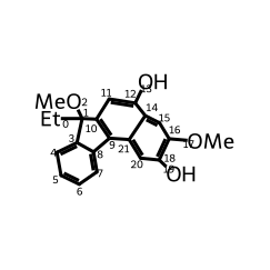 CCC1(OC)c2ccccc2-c2c1cc(O)c1cc(OC)c(O)cc21